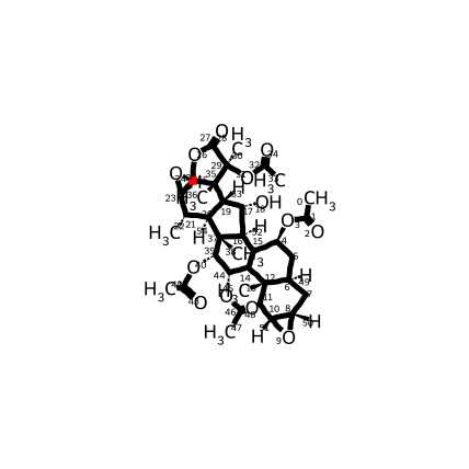 CC(=O)O[C@H]1C[C@H]2C[C@@H]3O[C@@H]3C[C@]2(C)C2C1[C@@H]1[C@@H](O)[C@@H]3[C@H]([C@H](C)[C@H]4O[C@]45OC(=O)[C@@](C)(OC(C)=O)[C@]35C)[C@@]1(C)[C@@H](OC(C)=O)[C@H]2OC(C)=O